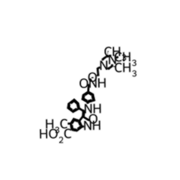 Cc1cc2c(cc1C(=O)O)NC(=O)/C2=C(\Nc1ccc(C(=O)NOCCN2C[C@@H](C)N(C)[C@@H](C)C2)cc1)c1ccccc1